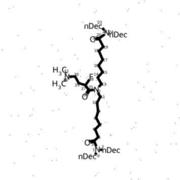 CCCCCCCCCCN(CCCCCCCCCC)C(=O)CCCCCCCN(CCCCCCCC(=O)N(CCCCCCCCCC)CCCCCCCCCC)C(=O)C(F)CCN(C)C